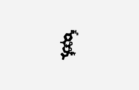 Bc1ccc([C@H](C)N2CC[C@](CC(=C)C)(C(C)C)OC2=O)cc1